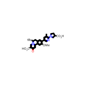 COc1cc2c(cc1-c1cnc(N3CCC(C(=O)O)C3)c(C)c1)CC(C(C)(C)C)n1cc(C(=O)O)c(=O)cc1-2